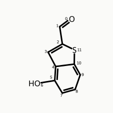 O=Cc1cc2c(O)cccc2s1